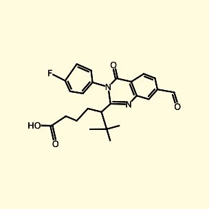 CC(C)(C)C(CCCC(=O)O)c1nc2cc(C=O)ccc2c(=O)n1-c1ccc(F)cc1